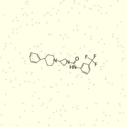 O=C(Nc1cccc(C(F)(F)F)c1)N1CC(N2CCC(c3ccccc3)CC2)C1